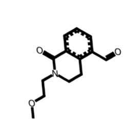 COCCN1CCc2c(C=O)cccc2C1=O